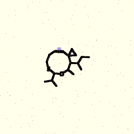 CCC(C)C1C(C)OC(C(C)C)SCC/C=C\C12CC2